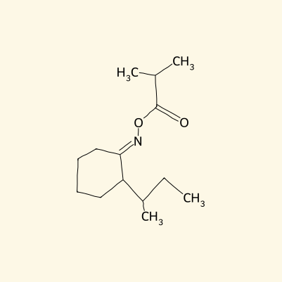 CCC(C)C1CCCCC1=NOC(=O)C(C)C